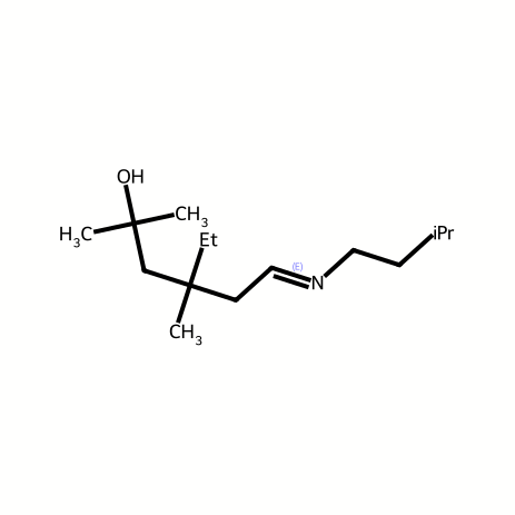 CCC(C)(C/C=N/CCC(C)C)CC(C)(C)O